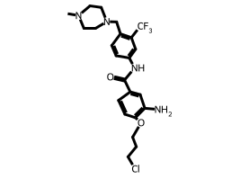 CN1CCN(Cc2ccc(NC(=O)c3ccc(OCCCCl)c(N)c3)cc2C(F)(F)F)CC1